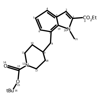 CCOC(=O)c1cc2cccc(CC3CCN(C(=O)OC(C)(C)C)CC3)c2n1C